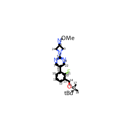 CON=C1CN(c2ncc(-c3cccc(CO[Si](C)(C)C(C)(C)C)c3F)cn2)C1